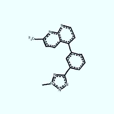 Cn1nnc(-c2cccc(-c3ccnc4nc(C(F)(F)F)ccc34)c2)n1